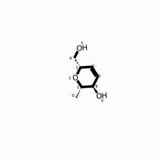 C[C@@H]1O[C@H](CO)C=C[C@H]1O